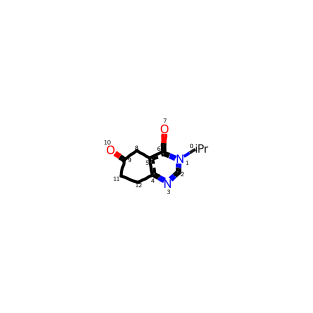 CC(C)n1cnc2c(c1=O)CC(=O)CC2